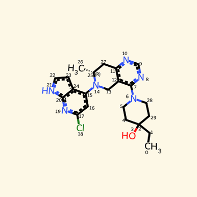 CCC1(O)CCN(c2ncnc3c2CN(c2cc(Cl)nc4[nH]ccc24)[C@H](C)C3)CC1